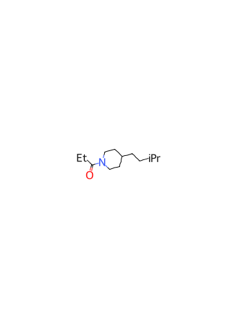 CCC(=O)N1CCC(CCC(C)C)CC1